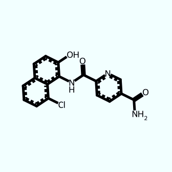 NC(=O)c1ccc(C(=O)Nc2c(O)ccc3cccc(Cl)c23)nc1